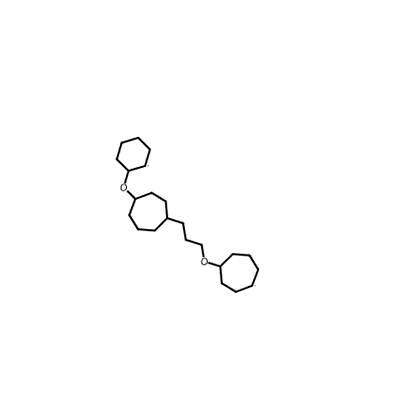 [CH]1CCCC(OCCCC2CCCC(OC3[CH]CCCC3)CC2)CC1